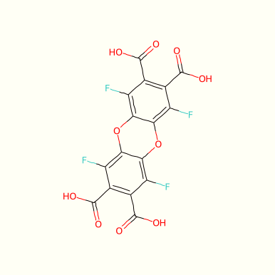 O=C(O)c1c(F)c2c(c(F)c1C(=O)O)Oc1c(F)c(C(=O)O)c(C(=O)O)c(F)c1O2